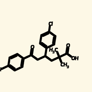 CC(C)(CC(CC(=O)c1ccc(I)cc1)c1ccc(Cl)cc1)C(=O)O